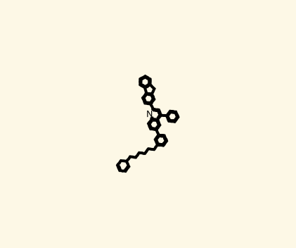 C1=CCC(CCCCCCc2cccc(-c3ccc4nc(-c5ccc6c(c5)Cc5ccccc5-6)cc(-c5ccccc5)c4c3)c2)C=C1